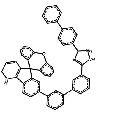 C1=CC2=C(NC1)c1ccc(-c3cccc(-c4cccc(C5=NC(c6ccc(-c7ccccc7)cc6)NN5)c4)c3)cc1C21c2ccccc2Oc2ccccc21